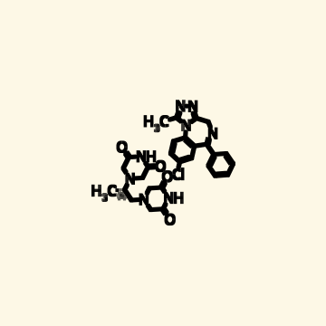 C[C@@H](CN1CC(=O)NC(=O)C1)N1CC(=O)NC(=O)C1.Cc1nnc2n1-c1ccc(Cl)cc1C(c1ccccc1)=NC2